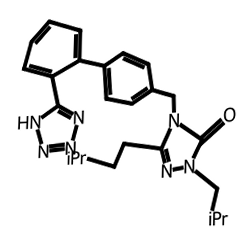 CC(C)CCc1nn(CC(C)C)c(=O)n1Cc1ccc(-c2ccccc2-c2nnn[nH]2)cc1